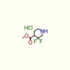 COC(=O)C1CCNCC1(F)F.Cl